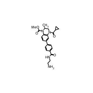 COC(=O)N1c2ccc(-c3ccc(C(=O)NCCN)cc3)cc2N(C(=O)C2CC2)C[C@@H]1C